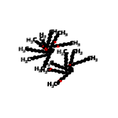 CCCCCCCCCCC(CCCCCCCC)CC1=C(CC(CCCCCCCC)CCCCCCCCCC)C(CC(CCCCCCCC)CCCCCCCCCC)(CC(CCCCCCCC)CCCCCCCCCC)CC1.CCCCCCCCCCC(CCCCCCCC)CC1=C(CC(CCCCCCCC)CCCCCCCCCC)C(CC(CCCCCCCC)CCCCCCCCCC)CC1